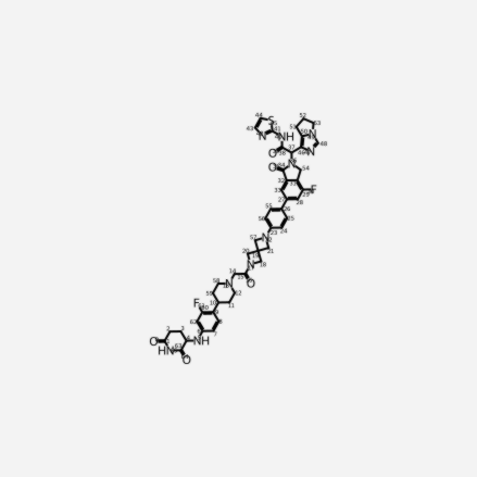 O=C1CCC(Nc2ccc(C3CCN(CC(=O)N4CC5(C4)CN(c4ccc(-c6cc(F)c7c(c6)C(=O)N(C(C(=O)Nc6nccs6)c6ncn8c6CCC8)C7)cc4)C5)CC3)c(F)c2)C(=O)N1